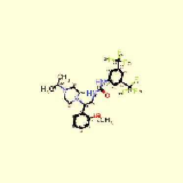 COc1ccccc1C(CNC(=O)Nc1cc(C(F)(F)F)cc(C(F)(F)F)c1)N1CCN(C(C)C)CC1